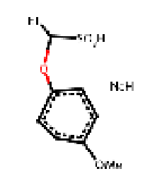 CCC(Oc1ccc(OC)cc1)S(=O)(=O)O.[NaH]